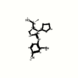 C[C@@H](O)[C@@H]1CSC(=Nc2ccc(C#N)cc2C(C)(C)C)N1C1CCCC1